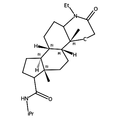 CCN1C(=O)CC[C@@]2(C)C1CC[C@@H]1[C@H]2CC[C@]2(C)C(C(=O)NC(C)C)CC[C@@H]12